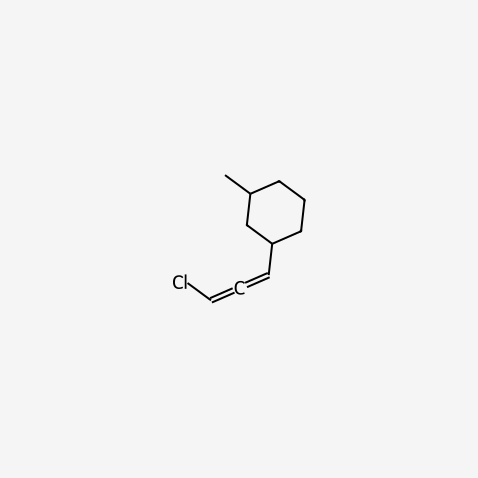 CC1CCCC(C=C=CCl)C1